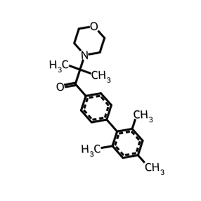 Cc1cc(C)c(-c2ccc(C(=O)C(C)(C)N3CCOCC3)cc2)c(C)c1